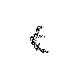 COc1nc(-c2ccnc(-c3cccc(Nc4nccc(CNC5CCN(C(C)=O)CC5)c4F)c3Cl)c2Cl)ccc1CN1CCC2(CCNC2)C1